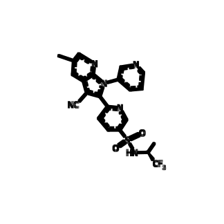 Cc1cnc2c(c1)c(C#N)c(-c1ccc(S(=O)(=O)N[C@@H](C)C(F)(F)F)cn1)n2-c1cccnc1